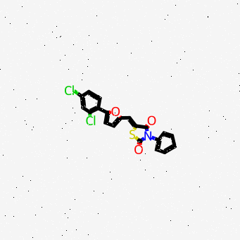 O=C1S/C(=C\c2ccc(-c3ccc(Cl)cc3Cl)o2)C(=O)N1c1ccccc1